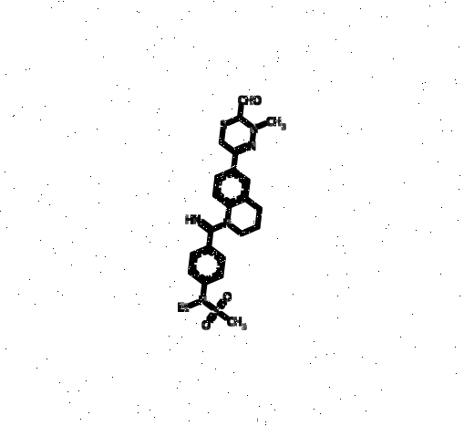 CCN(c1ccc(C(=N)N2CCCc3cc(C4=NN(C)C(C=O)SC4)ccc32)cc1)S(C)(=O)=O